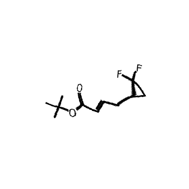 CC(C)(C)OC(=O)C=CCC1CC1(F)F